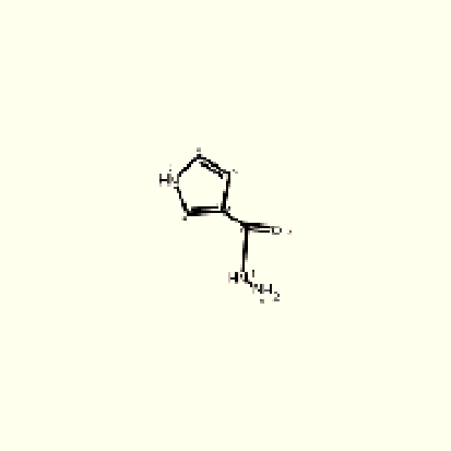 NNC(=O)c1cc[nH]c1